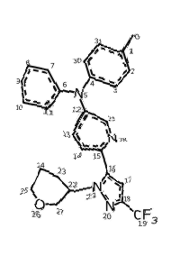 Cc1ccc(N(c2ccccc2)c2ccc(-c3cc(C(F)(F)F)nn3C3CCCOC3)nc2)cc1